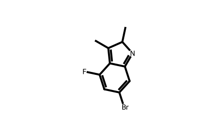 CC1=c2c(F)cc(Br)cc2=NC1C